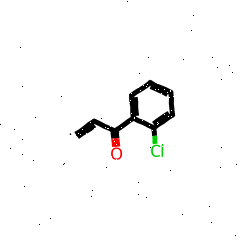 [CH]=CC(=O)c1ccccc1Cl